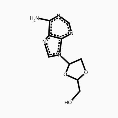 Nc1ncnc2c1ncn2C1COC(CO)O1